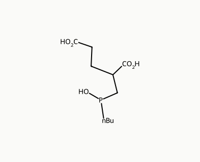 CCCCP(O)CC(CCC(=O)O)C(=O)O